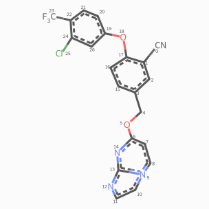 N#Cc1cc(COc2ccn3ccnc3n2)ccc1Oc1ccc(C(F)(F)F)c(Cl)c1